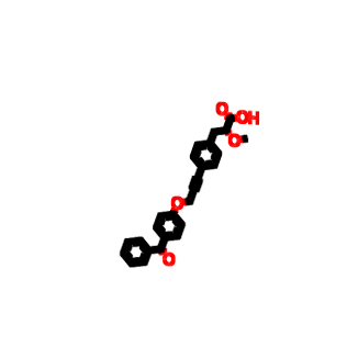 COC(Cc1ccc(C#CCOc2ccc(C(=O)c3ccccc3)cc2)cc1)C(=O)O